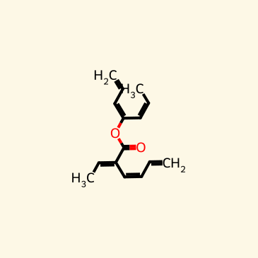 C=C/C=C\C(=C/C)C(=O)OC(/C=C\C)=C/C=C